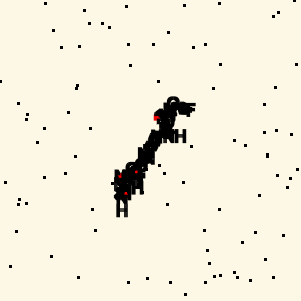 Cc1[nH]nc(Nc2ncnc3cc(OCCOc4cnc(N5CCC6(CCN(C[C@H]7CN[C@H](C)CN7CC(=O)N7CCCC7c7nc(C(=O)c8ccc(F)cc8)cs7)CC6)CC5)nc4)c(S(=O)(=O)C(C)(C)C)cc23)c1C